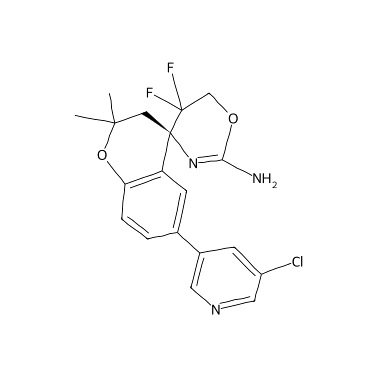 CC1(C)C[C@@]2(N=C(N)OCC2(F)F)c2cc(-c3cncc(Cl)c3)ccc2O1